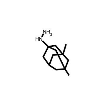 CC12CC3CC(C)(C1)CC(NN)(C3)C2